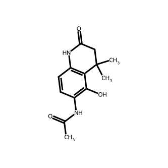 CC(=O)Nc1ccc2c(c1O)C(C)(C)CC(=O)N2